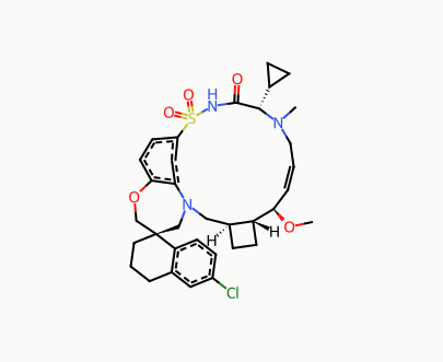 CO[C@@H]1C=CCN(C)[C@@H](C2CC2)C(=O)NS(=O)(=O)c2ccc3c(c2)N(C[C@@H]2CC[C@H]21)C[C@@]1(CCCc2cc(Cl)ccc21)CO3